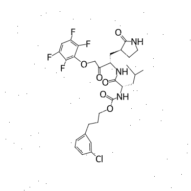 CC(C)C[C@H](NC(=O)OCCCc1cccc(Cl)c1)C(=O)N[C@@H](C[C@@H]1CCNC1=O)C(=O)COc1c(F)c(F)cc(F)c1F